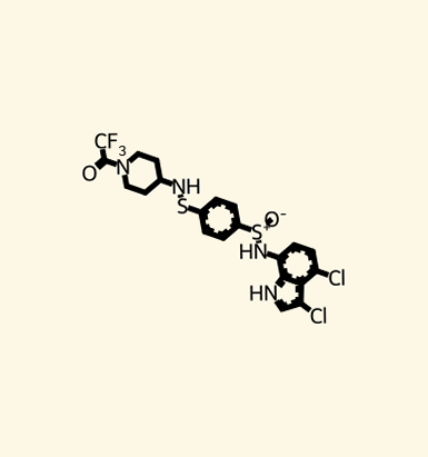 O=C(N1CCC(NSc2ccc([S+]([O-])Nc3ccc(Cl)c4c(Cl)c[nH]c34)cc2)CC1)C(F)(F)F